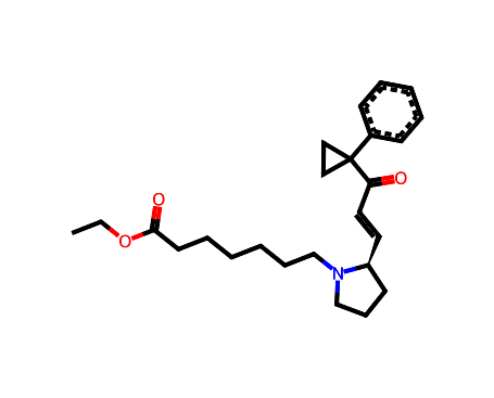 CCOC(=O)CCCCCCN1CCC[C@@H]1C=CC(=O)C1(c2ccccc2)CC1